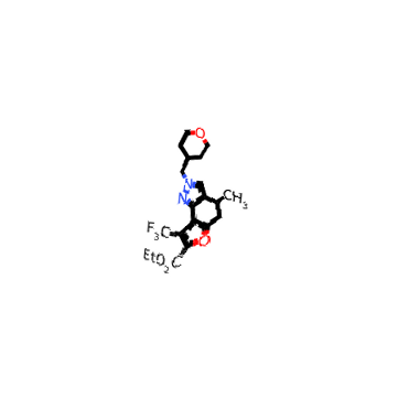 CCOC(=O)c1oc2c(c1C(F)(F)F)-c1nn(CC3CCOCC3)cc1C(C)C2